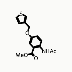 COC(=O)c1cc(OCc2ccsc2)ccc1NC(C)=O